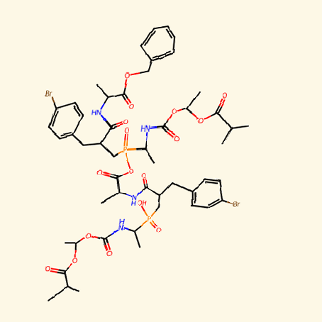 CC(OC(=O)NC(C)P(=O)(O)CC(Cc1ccc(Br)cc1)C(=O)NC(C)C(=O)OP(=O)(CC(Cc1ccc(Br)cc1)C(=O)NC(C)C(=O)OCc1ccccc1)C(C)NC(=O)OC(C)OC(=O)C(C)C)OC(=O)C(C)C